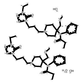 CCC(=O)N(c1ccccc1)C1(COC)CCN(CCCn2nnn(CC)c2=O)CC1.CCC(=O)N(c1ccccc1)C1(COC)CCN(CCCn2nnn(CC)c2=O)CC1.Cl.Cl.O